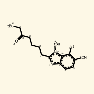 CCc1c(C#N)ccc2nc(CCCCC(=O)CC(C)(C)C)n(C(C)(C)C)c12